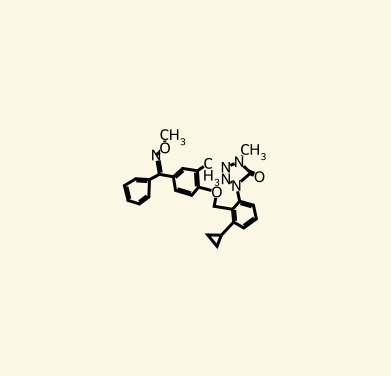 CON=C(c1ccccc1)c1ccc(OCc2c(C3CC3)cccc2-n2nnn(C)c2=O)c(C)c1